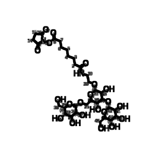 O=C(CCCCCCC(=O)ON1C(=O)CCC1=O)NCCO[C@H]1O[C@H](CO[C@H]2O[C@H](CO)[C@@H](O)[C@H](O)[C@@H]2O)[C@@H](O)[C@H](O[C@H]2O[C@H](CO)[C@@H](O)[C@H](O)[C@@H]2O)[C@@H]1O